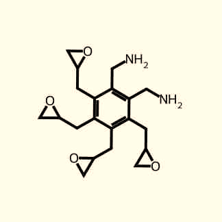 NCc1c(CN)c(CC2CO2)c(CC2CO2)c(CC2CO2)c1CC1CO1